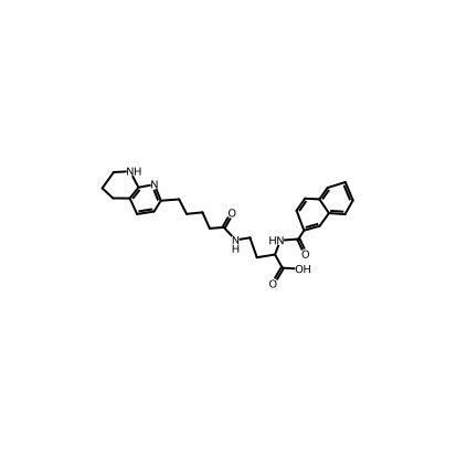 O=C(CCCCc1ccc2c(n1)NCCC2)NCCC(NC(=O)c1ccc2ccccc2c1)C(=O)O